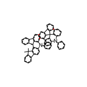 CC1(C)c2ccccc2-c2ccc3c(c21)C1(C)c2ccccc2-c2cccc(c21)N3c1ccccc1-c1cccc2c1C1(c3ccccc3-2)c2ccccc2N(c2ccccc2)c2ccccc21